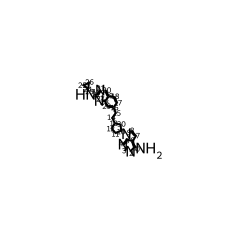 Nc1ncnc2c1ccn2C1CCC(CCc2ccc3cnc(NC4CC4)nc3c2)C1